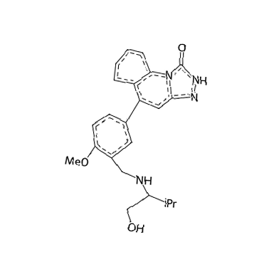 COc1ccc(-c2cc3n[nH]c(=O)n3c3ccccc23)cc1CNC(CO)C(C)C